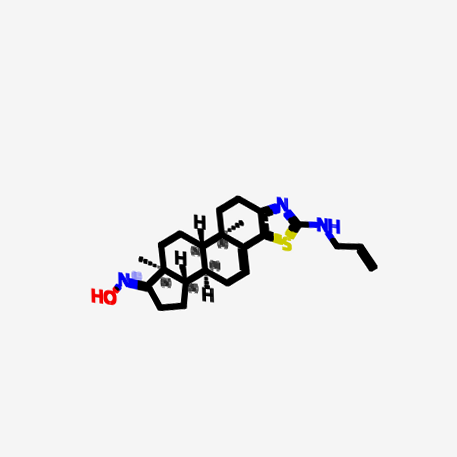 C=CCNc1nc2c(s1)C1=CC[C@@H]3[C@H](CC[C@]4(C)/C(=N/O)CC[C@@H]34)[C@@]1(C)CC2